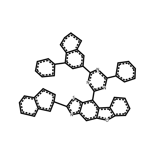 c1ccc(-c2nc(-c3cc(-c4ccccc4)c4ccccc4c3)nc(-c3c4sc(-c5ccc6ccccc6c5)nc4cc4oc5ccccc5c34)n2)cc1